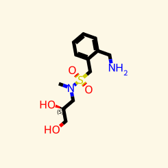 CN(C[C@H](O)CO)S(=O)(=O)Cc1ccccc1CN